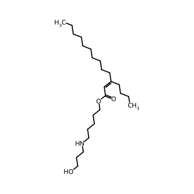 CCCCCCCCCCC(=CC(=O)OCCCCCNCCCO)CCCC